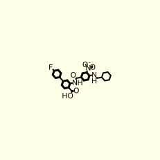 O=C(Nc1cc(-c2ccc(F)cc2)ccc1C(=O)O)c1ccc(NCC2CCCCC2)c([N+](=O)[O-])c1